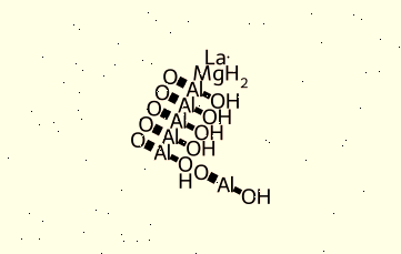 [La].[MgH2].[O]=[Al][OH].[O]=[Al][OH].[O]=[Al][OH].[O]=[Al][OH].[O]=[Al][OH].[O]=[Al][OH]